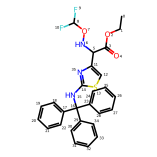 CCOC(=O)C(NOC(F)F)c1csc(NC(c2ccccc2)(c2ccccc2)c2ccccc2)n1